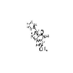 CCNCc1nc2ncn(Cc3ccccc3)c2c(=O)[nH]1